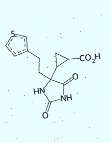 O=C1NC(=O)C(CCc2ccsc2)(C2CC2C(=O)O)N1